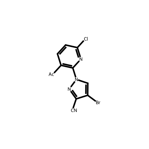 CC(=O)c1ccc(Cl)nc1-n1cc(Br)c(C#N)n1